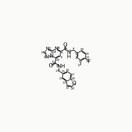 Cc1cc(CNC(=O)c2cc(C(=O)NCc3ccc4occc4c3)n3ncnc3n2)ccc1F